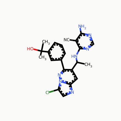 CC(Nc1ncnc(N)c1C#N)c1cc2ncc(Cl)n2nc1-c1cccc(C(C)(C)O)c1